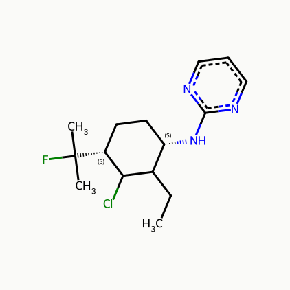 CCC1C(Cl)[C@H](C(C)(C)F)CC[C@@H]1Nc1ncccn1